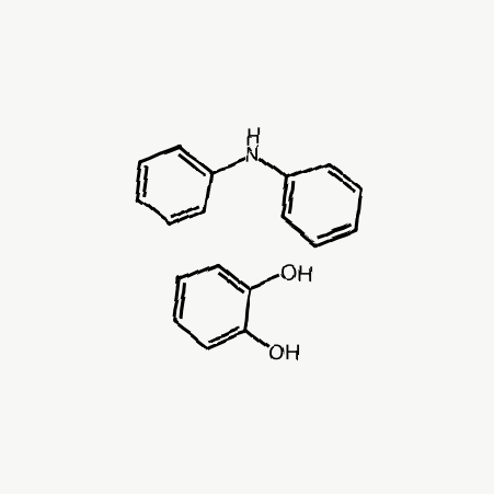 Oc1ccccc1O.c1ccc(Nc2ccccc2)cc1